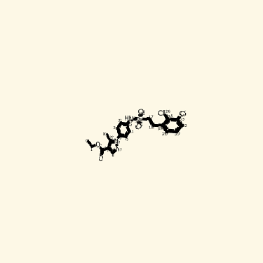 CCOC(=O)c1cnn(-c2ccc(NS(=O)(=O)CCc3cccc(Cl)c3Cl)cc2)c1C